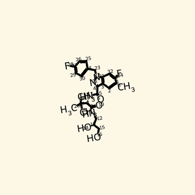 Cc1cc2c(C(=O)N[C@H](C(=O)NC[C@H](O)CO)C(C)(C)C)nn(Cc3ccc(F)cc3)c2cc1F